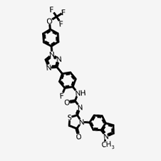 Cn1ccc2ccc(N3C(=O)CS/C3=N\C(=O)Nc3ccc(-c4ncn(-c5ccc(OC(F)(F)F)cc5)n4)cc3F)cc21